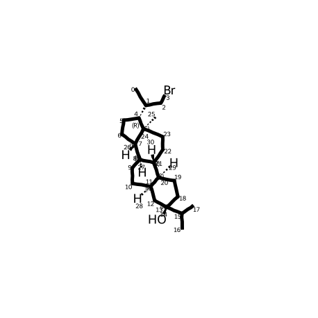 CC(CBr)[C@H]1CC[C@H]2[C@@H]3CC[C@@H]4C[C@@](O)(C(C)C)CC[C@@H]4[C@H]3CC[C@]12C